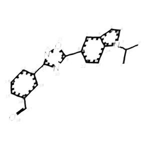 CC(C)n1ccc2cc(-c3nc(-c4cccc(C=O)c4)no3)ccc21